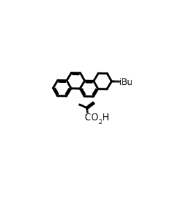 C=C(C)C(=O)O.CCC(C)C1CCc2c(ccc3c2ccc2ccccc23)C1